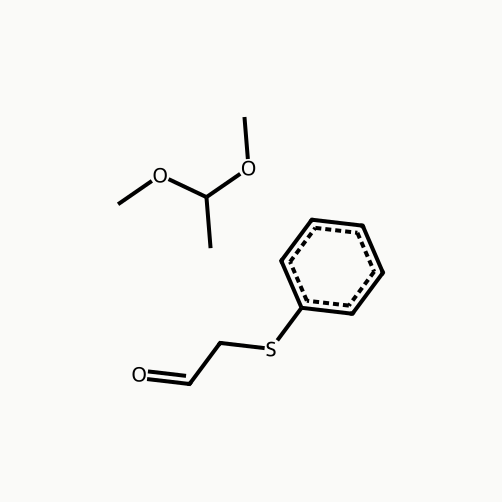 COC(C)OC.O=CCSc1ccccc1